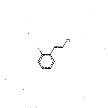 N#CC=Cc1ccccc1I